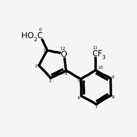 O=C(O)C1CC=C(c2ccccc2C(F)(F)F)O1